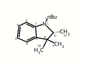 CCCCN1c2ccccc2C(C)(C)[C@H]1C